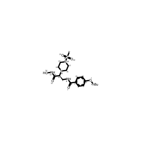 CCCCOc1ccc(C(=O)NC[C@@H](C(=O)NO)N2CCN(S(C)(=O)=O)CC2)cc1